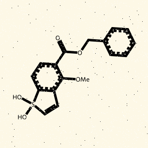 COc1c(C(=O)OCc2ccccc2)ccc2c1C=CS2(O)O